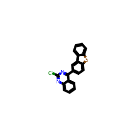 Clc1nc(-c2ccc3sc4ccccc4c3c2)c2ccccc2n1